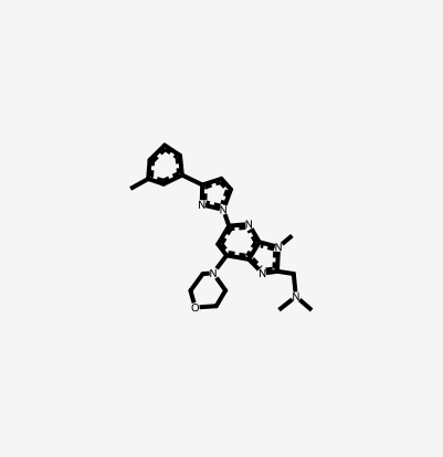 Cc1cccc(-c2ccn(-c3cc(N4CCOCC4)c4nc(CN(C)C)n(C)c4n3)n2)c1